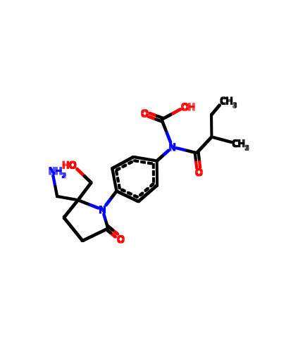 CCC(C)C(=O)N(C(=O)O)c1ccc(N2C(=O)CCC2(CN)CO)cc1